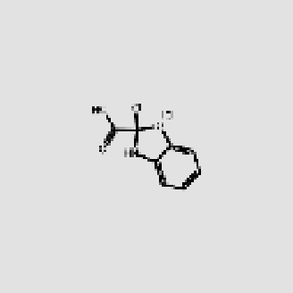 Cl.O=C(O)C1(Cl)Nc2ccccc2O1